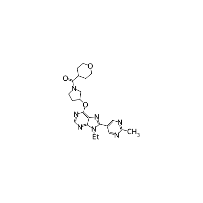 CCn1c(-c2cnc(C)nc2)nc2c(OC3CCN(C(=O)C4CCOCC4)C3)ncnc21